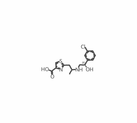 CC(Cc1nc(C(=O)O)cs1)NC[C@H](O)c1cccc(Cl)c1